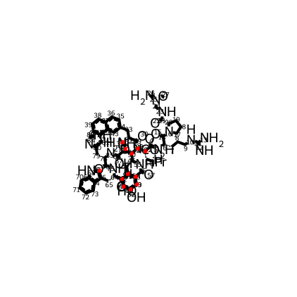 CC(C)C[C@@H](C(=O)N[C@@H](CCCNC(=N)N)C(=O)N1CCC[C@H]1C(=O)NC[N+](N)=O)N(C(=O)[C@H](N)Cc1ccc2ccccc2c1)C(=O)[C@H](Cc1ccc(O)cc1)NC(=O)[C@H](CO)NC(=O)[C@H](Cc1c[nH]c2ccccc12)NC(=O)[C@H](Cc1c[nH]cn1)NC(=O)[C@@H](N)CCC(=O)O